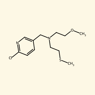 COCCN(CCSC)Cc1ccc(Cl)nc1